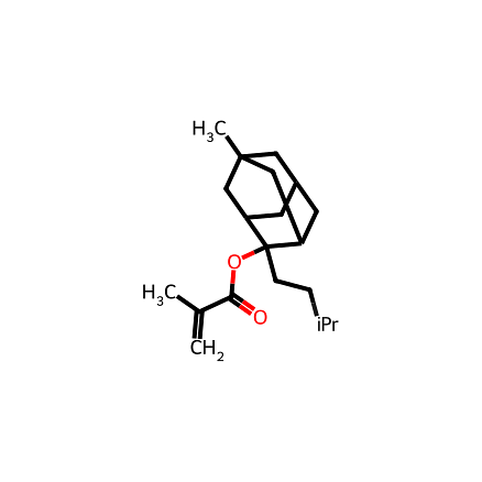 C=C(C)C(=O)OC1(CCC(C)C)C2CC3CC1CC(C)(C3)C2